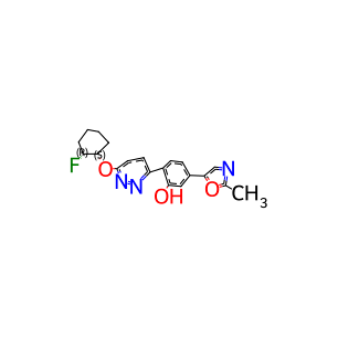 Cc1ncc(-c2ccc(-c3ccc(O[C@H]4CCCC[C@H]4F)nn3)c(O)c2)o1